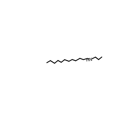 CCCCCCCCCCCCNCCC